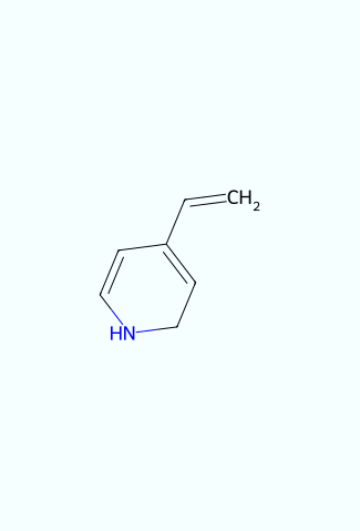 C=CC1=CCNC=C1